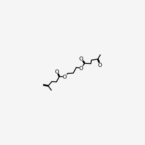 C=C(C)CCC(=O)OCCCOC(=O)CCC(C)=O